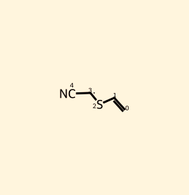 C=CS[CH]C#N